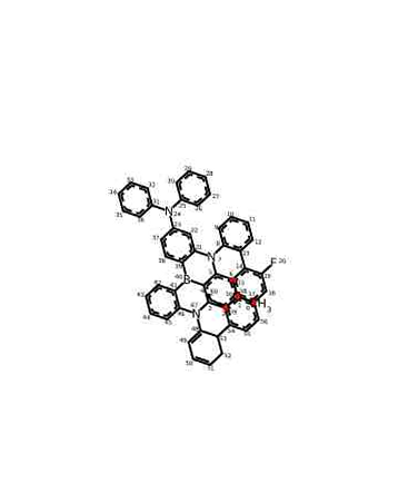 Cc1cc2c3c(c1)N(c1ccccc1-c1ccccc1F)c1cc(N(c4ccccc4)c4ccccc4)ccc1B3c1ccccc1N2C1=CC=CCC1c1ccccc1F